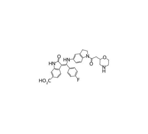 O=C1Nc2cc(C(=O)O)ccc2C1=C(Nc1ccc2c(c1)CCN2C(=O)CC1CNCCO1)c1ccc(F)cc1